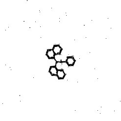 CC[C@@](C(=O)O)(c1ccccc1)C(c1cccc2ccccc12)c1cccc2ccccc12